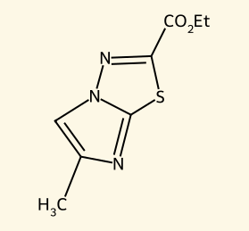 CCOC(=O)c1nn2cc(C)nc2s1